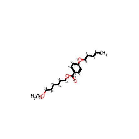 CCCCCOc1ccc(C(=O)OCCCCCCOC)cc1